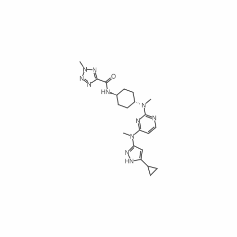 CN(c1cc(C2CC2)[nH]n1)c1ccnc(N(C)[C@H]2CC[C@H](NC(=O)c3nnn(C)n3)CC2)n1